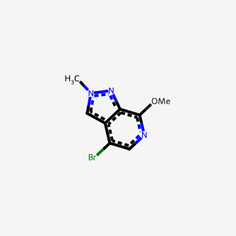 COc1ncc(Br)c2cn(C)nc12